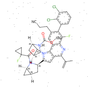 C=C(C)c1nc2c(F)c(-c3cccc(Cl)c3Cl)c(CCC#N)cc2c2c1cc([C@H]1C[C@H]3C[C@H]3N1C(=O)C1(F)CC1)n2[C@H]1[C@@H]2C[C@H]1N(C(=O)OC(C)(C)C)C2